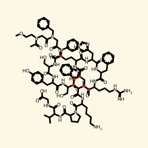 COCCN(CC(=O)N(CC(=O)N(CC(=O)NC(CO)C(=O)NC(Cc1ccc(O)cc1)C(=O)NC(CO)C(=O)NC(CCSC)C(=O)NC(CCC(=O)O)C(=O)NC(Cc1c[nH]cn1)C(=O)NC(Cc1ccccc1)C(=O)NC(CCCNC(=N)N)C(=O)NC(Cc1c[nH]c2ccccc12)C(=O)NC(CCCCN)C(=O)N1CCCC1C(=O)NC(C(=O)NCC(=O)O)C(C)C)c1ccccc1)Cc1ccccc1)C(C)=O